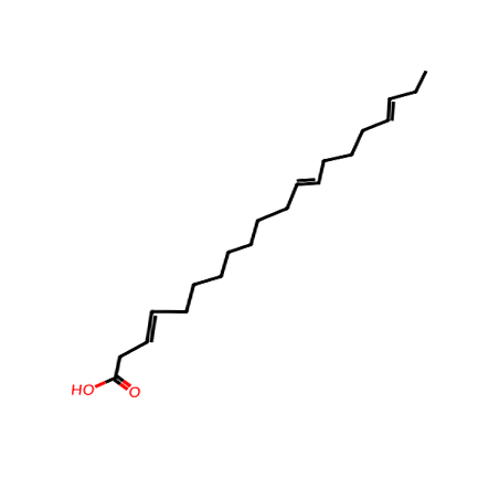 CCC=CCCCC=CCCCCCCCC=CCC(=O)O